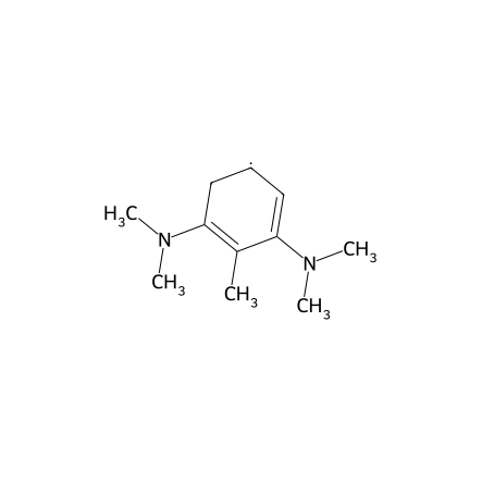 CC1=C(N(C)C)C[CH]C=C1N(C)C